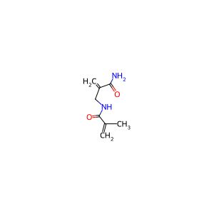 C=C(C)C(=O)NCC(=C)C(N)=O